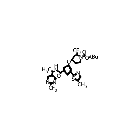 Cc1cnc(-c2cc(OC3CCN(C(=O)OC(C)(C)C)C(C(F)(F)F)C3)cc(C(=O)N[C@H](C)c3cnc(C(F)(F)F)nc3)c2)s1